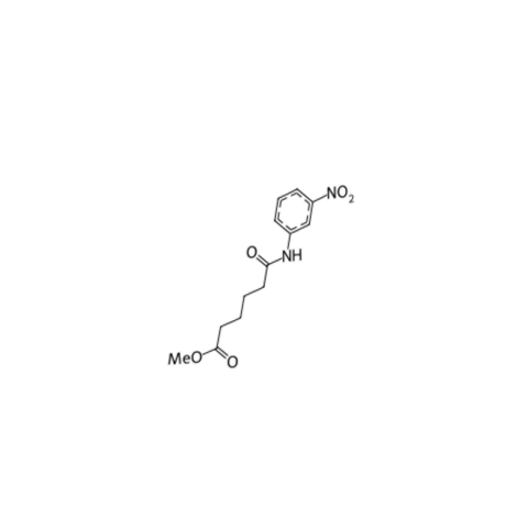 COC(=O)CCCCC(=O)Nc1cccc([N+](=O)[O-])c1